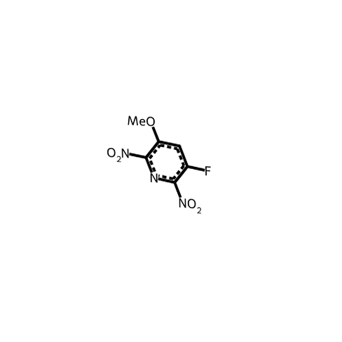 COc1cc(F)c([N+](=O)[O-])nc1[N+](=O)[O-]